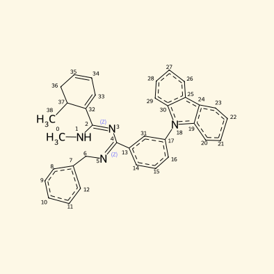 CN/C(=N\C(=N/Cc1ccccc1)c1cccc(-n2c3ccccc3c3ccccc32)c1)C1=CC=CCC1C